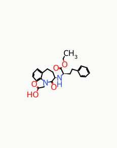 CCOC(=O)[C@@H](CCc1ccccc1)N[C@H]1CCc2ccccc2N(CC(=O)O)C1=O